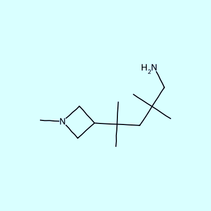 CN1CC(C(C)(C)CC(C)(C)CN)C1